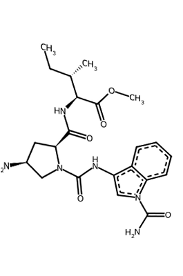 CC[C@H](C)[C@H](NC(=O)[C@@H]1C[C@H](N)CN1C(=O)Nc1cn(C(N)=O)c2ccccc12)C(=O)OC